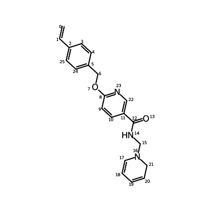 C=Cc1ccc(COc2ccc(C(=O)NCN3C=CC=CC3)cn2)cc1